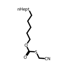 CCCCCCCCCCCCOC(=O)SCC#N